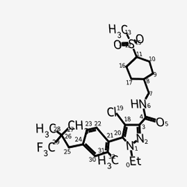 CCn1nc(C(=O)NCC2CCC(S(C)(=O)=O)CC2)c(Cl)c1-c1ccc(CC(C)(C)C(F)(F)F)cc1C